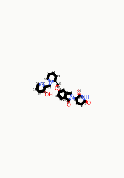 O=C1CCC(N2Cc3cc(OC[C@@H]4CCCCN4Cc4ncccc4O)ccc3C2=O)C(=O)N1